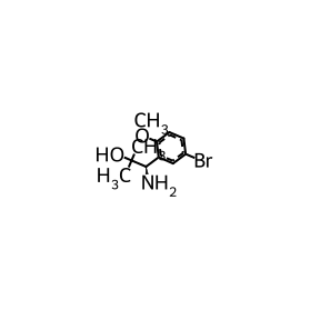 COc1ccc(Br)cc1[C@@H](N)C(C)(C)O